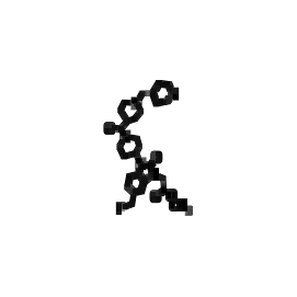 COC(=O)Cn1c(=O)n(C2CCN(C(=O)C3CCN(Cc4ccncc4)CC3)CC2)c2ccc(CF)cc21